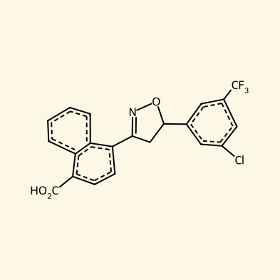 O=C(O)c1ccc(C2=NOC(c3cc(Cl)cc(C(F)(F)F)c3)C2)c2ccccc12